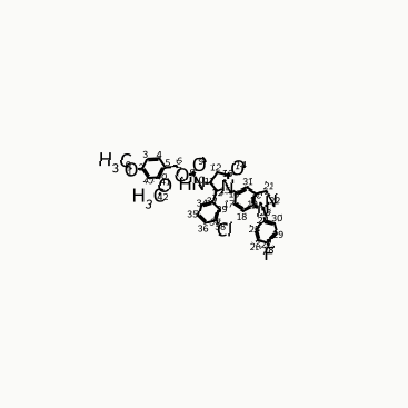 COc1ccc(COC(=O)N[C@H]2CC(=O)N(c3ccc4c(cnn4-c4ccc(F)cc4)c3)C2c2cccc(Cl)c2)c(OC)c1